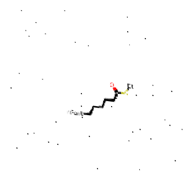 [CH2]CSC(=O)CCCCCCCCCC